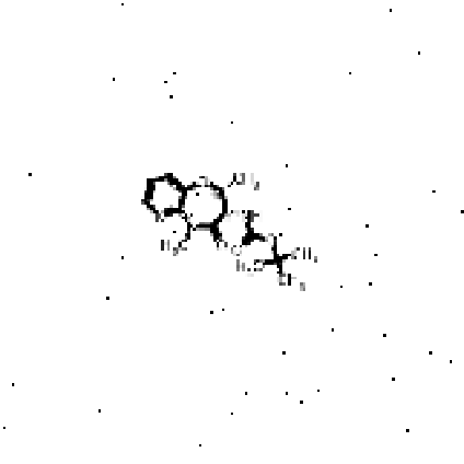 C[C@H]1Oc2cccnc2N(C)C(=O)[C@H]1NC(=O)OC(C)(C)C